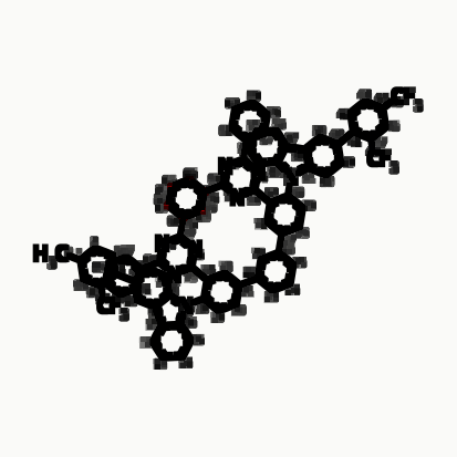 Cc1ccc(-c2ccc3c(c2)c2ccccc2n3-c2ccc(-c3cccc(-c4ccc(-n5c6ccccc6c6cc(-c7ccc(C(F)(F)F)cc7C(F)(F)F)ccc65)c(-c5nc(-c6ccccc6)nc(-c6ccccc6)n5)c4)c3)cc2-c2nc(-c3ccccc3)nc(-c3ccccc3)n2)c(C(F)(F)F)c1